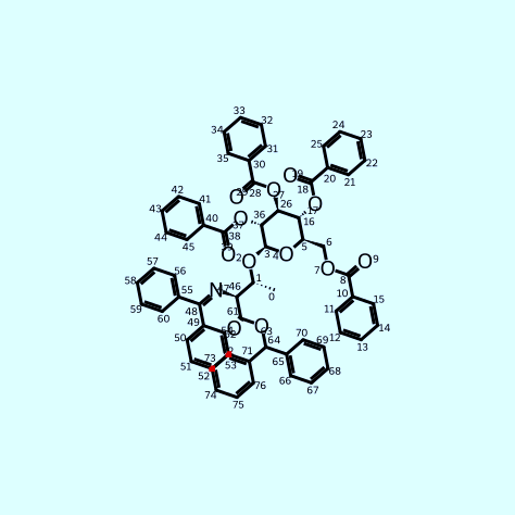 C[C@@H](O[C@@H]1O[C@H](COC(=O)c2ccccc2)[C@@H](OC(=O)c2ccccc2)[C@H](OC(=O)c2ccccc2)[C@H]1OC(=O)c1ccccc1)[C@H](N=C(c1ccccc1)c1ccccc1)C(=O)OC(c1ccccc1)c1ccccc1